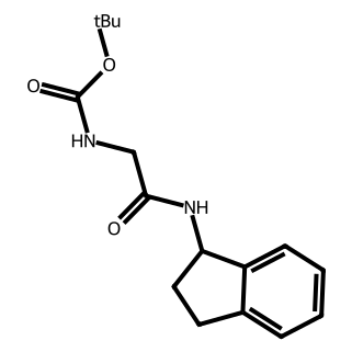 CC(C)(C)OC(=O)NCC(=O)NC1CCc2ccccc21